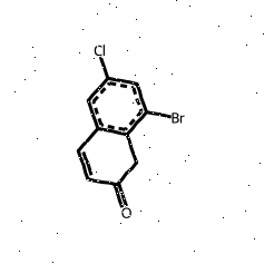 O=C1C=Cc2cc(Cl)cc(Br)c2C1